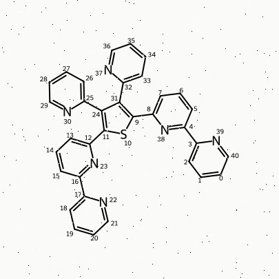 c1ccc(-c2cccc(-c3sc(-c4cccc(-c5ccccn5)n4)c(-c4ccccn4)c3-c3ccccn3)n2)nc1